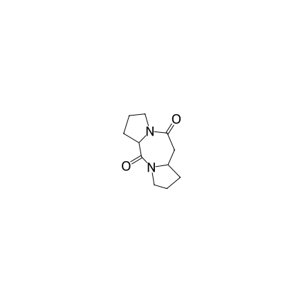 O=C1C2CCCN2C(=O)CC2CCCN12